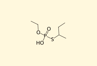 CCOP(=O)(O)SC(C)CC